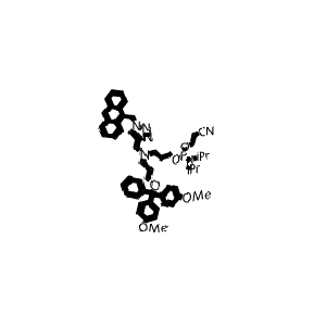 COc1ccc(C(OCCCN(CCCOP(OCCC#N)N(C(C)C)C(C)C)Cc2cn(Cc3c4ccccc4cc4ccccc34)nn2)(c2ccccc2)c2ccc(OC)cc2)cc1